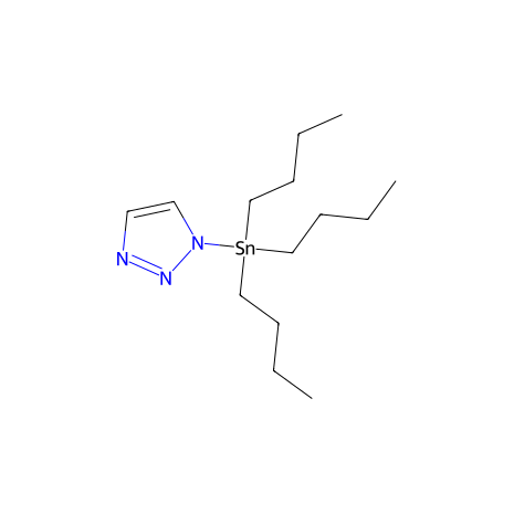 CCC[CH2][Sn]([CH2]CCC)([CH2]CCC)[n]1ccnn1